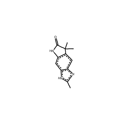 Cc1nc2cc3c(cc2[nH]1)NC(=O)C3(C)C